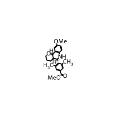 COC(=O)c1cc(C)c([C@H]2Nc3ccc(OC)cc3[C@@H]3OCCC[C@H]23)c(C)c1